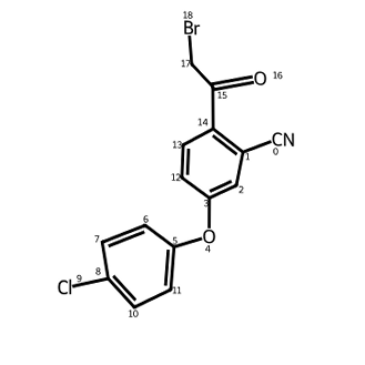 N#Cc1cc(Oc2ccc(Cl)cc2)ccc1C(=O)CBr